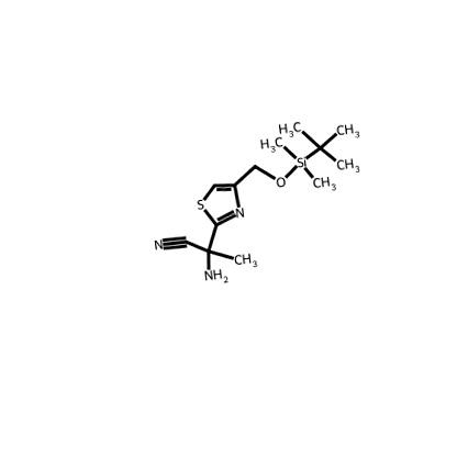 CC(N)(C#N)c1nc(CO[Si](C)(C)C(C)(C)C)cs1